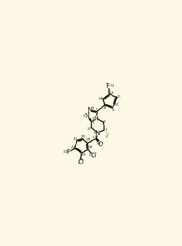 C[C@H]1Cn2c(nnc2-c2cccc(F)c2)CN1C(=O)c1ccc(F)c(Cl)c1Cl